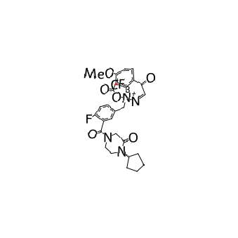 COc1ccc2c(c1)[N+](Cc1ccc(F)c(C(=O)N3CCN(C4CCCC4)C(=O)C3)c1)(OC(=O)C(F)(F)F)N=CC2=O